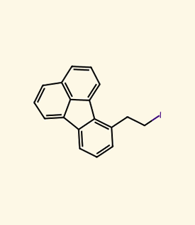 ICCc1cccc2c1-c1cccc3cccc-2c13